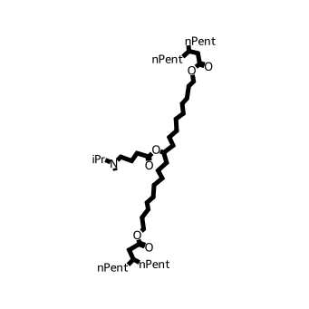 CCCCCC(CCCCC)CC(=O)OCCCCCCCCCC(CCCCCCCCCOC(=O)CC(CCCCC)CCCCC)OC(=O)CCCN(C)C(C)C